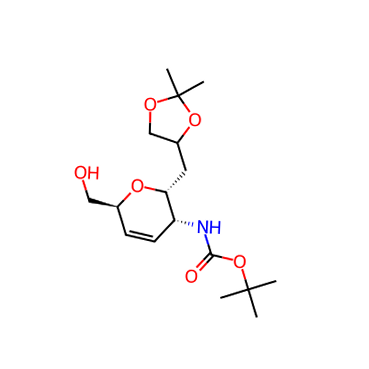 CC(C)(C)OC(=O)N[C@@H]1C=C[C@@H](CO)O[C@@H]1CC1COC(C)(C)O1